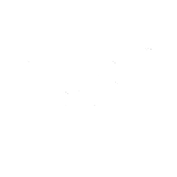 C#CCSc1nc(COC)cc(=O)n1CCC12CCC(C)(O1)C1C(=O)N(c3ccc(C#N)c4ccccc34)C(=O)C12